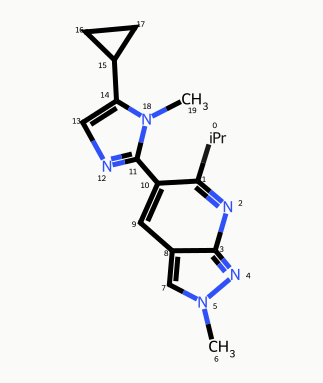 CC(C)c1nc2nn(C)cc2cc1-c1ncc(C2CC2)n1C